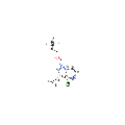 C[Si](C)(C)CCOCn1cc(C2CC2)c2c(Cl)nccc21